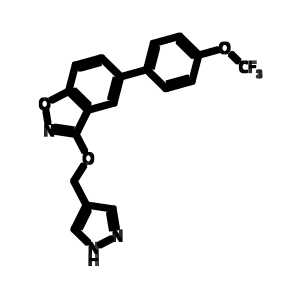 FC(F)(F)Oc1ccc(-c2ccc3onc(OCc4cn[nH]c4)c3c2)cc1